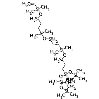 C=C[Si](C)(C)O[SiH2]CC[Si](C)(C)O[SiH2]CC[Si](C)(C)O[SiH2]CC[Si](C)(O[Si](C)(C)C)O[Si](C)(C)O[Si](C)(C)C